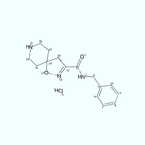 Cl.O=C(NCc1ccccc1)C1=NOC2(CCNCC2)C1